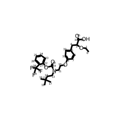 CCOC(Cc1ccc(OCCN(CCC(C)(C)C)C(=O)Oc2ccccc2C(F)(F)F)cc1)C(=O)O